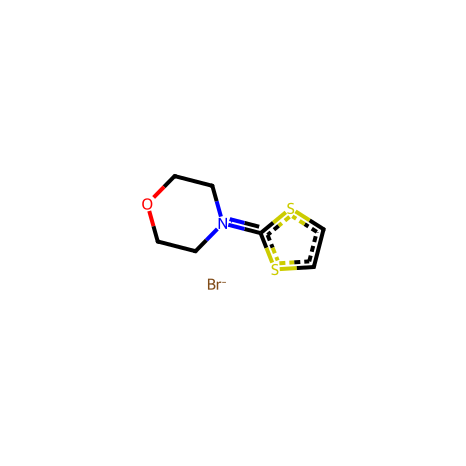 [Br-].c1csc(=[N+]2CCOCC2)s1